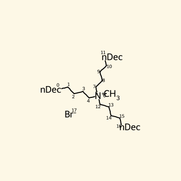 CCCCCCCCCCCCCC[N+](C)(CCCCCCCCCCCCCC)CCCCCCCCCCCCCC.[Br-]